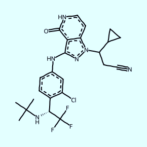 CC(C)(C)N[C@H](c1ccc(Nc2nn(C(CC#N)C3CC3)c3cc[nH]c(=O)c23)cc1Cl)C(F)(F)F